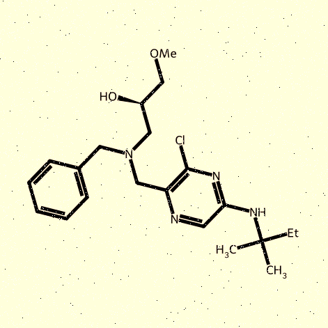 CCC(C)(C)Nc1cnc(CN(Cc2ccccc2)C[C@@H](O)COC)c(Cl)n1